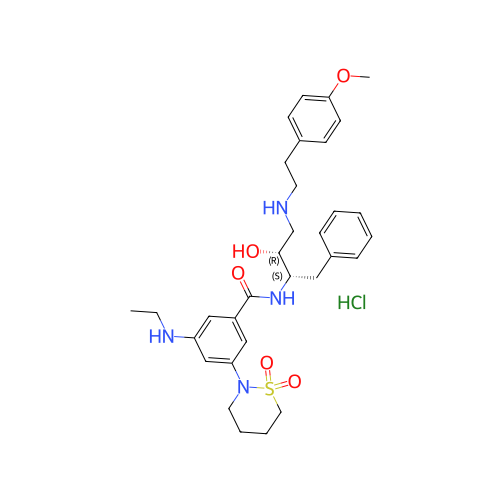 CCNc1cc(C(=O)N[C@@H](Cc2ccccc2)[C@H](O)CNCCc2ccc(OC)cc2)cc(N2CCCCS2(=O)=O)c1.Cl